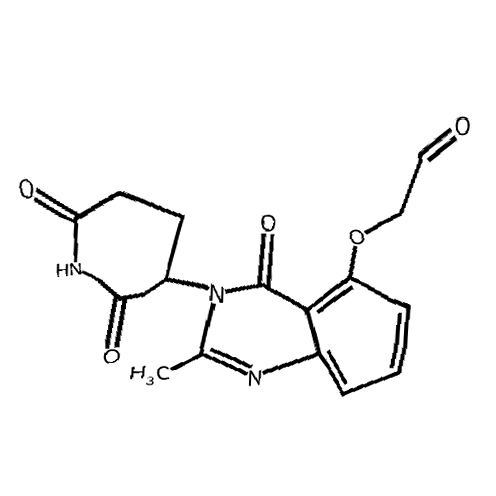 Cc1nc2cccc(OCC=O)c2c(=O)n1C1CCC(=O)NC1=O